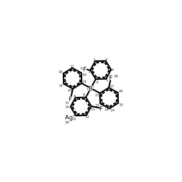 Fc1ccccc1[B-](c1ccccc1F)(c1ccccc1F)c1ccccc1F.[Ag+]